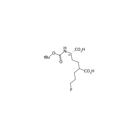 CC(C)(C)OC(=O)N[C@@H](CCC(CCCF)C(=O)O)C(=O)O